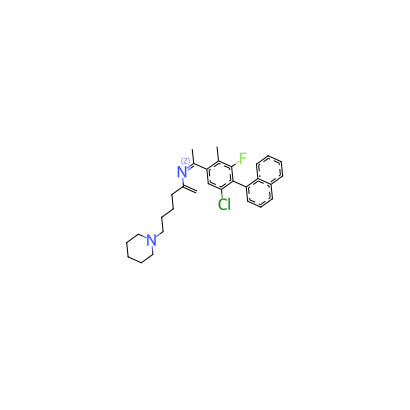 C=C(CCCCN1CCCCC1)/N=C(/C)c1cc(Cl)c(-c2cccc3ccccc23)c(F)c1C